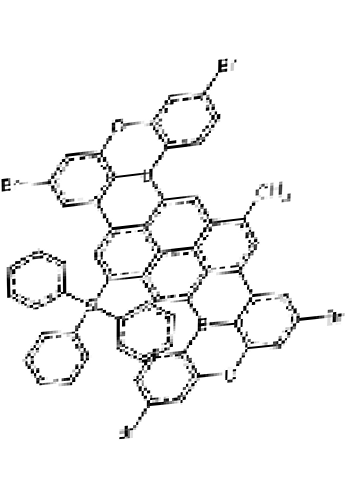 Cc1cc2c3c(cc4c([Si](c5ccccc5)(c5ccccc5)c5ccccc5)cc5c6c(cc1c3c46)B1c3ccc(Br)cc3Oc3cc(Br)cc-5c31)B1c3ccc(Br)cc3Oc3cc(Br)cc-2c31